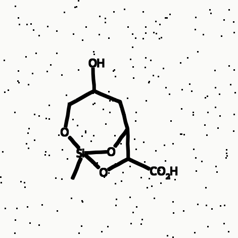 C[Si]12OCC(O)CC(O1)C(C(=O)O)O2